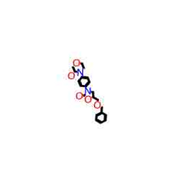 O=C1COCCN1c1ccc(N2CC(COCc3ccccc3)OC2=O)cc1